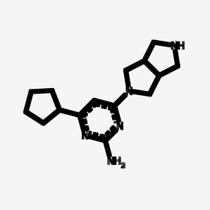 Nc1nc(C2CCCC2)cc(N2CC3CNCC3C2)n1